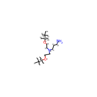 CC(C)(C)[Si](C)(C)OCCN(CCCN)CCO[Si](C)(C)C(C)(C)C